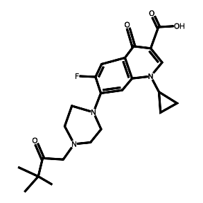 CC(C)(C)C(=O)CN1CCN(c2cc3c(cc2F)c(=O)c(C(=O)O)cn3C2CC2)CC1